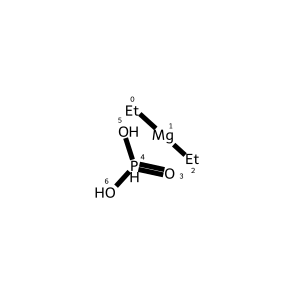 C[CH2][Mg][CH2]C.O=[PH](O)O